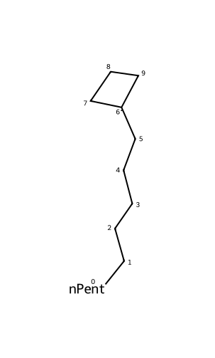 CCCCCCCCCC[C]1CCC1